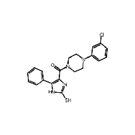 O=C(c1nc(S)[nH]c1-c1ccccc1)N1CCN(c2cccc(Cl)c2)CC1